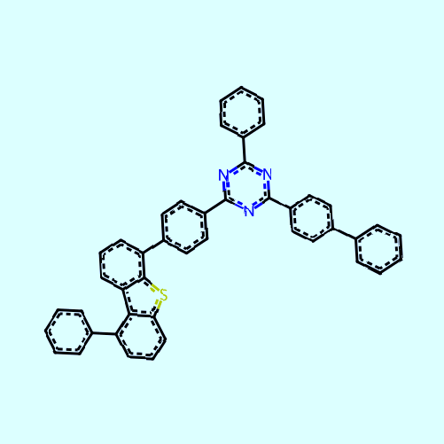 c1ccc(-c2ccc(-c3nc(-c4ccccc4)nc(-c4ccc(-c5cccc6c5sc5cccc(-c7ccccc7)c56)cc4)n3)cc2)cc1